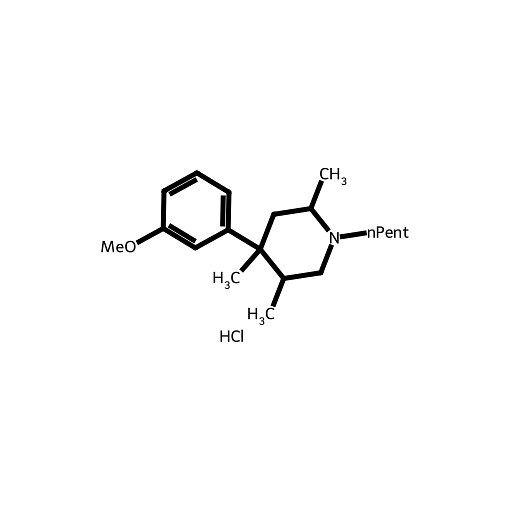 CCCCCN1CC(C)C(C)(c2cccc(OC)c2)CC1C.Cl